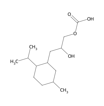 CC1CCC(C(C)C)C(CC(O)COC(=O)O)C1